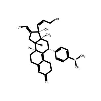 C/C=C1\C[C@H]2[C@@H]3CCC4=CC(=O)CCC4=C3[C@@H](c3ccc(N(C)C)cc3)C[C@]2(C)[C@]1(O)/C=C\CO